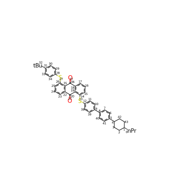 CCCC1CCC(c2ccc(-c3ccc(Sc4cccc5c4C(=O)c4cccc(Sc6ccc(C(C)(C)C)cc6)c4C5=O)cc3)cc2)CC1